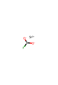 [O-]B([O-])F.[Sr+2]